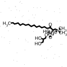 CCCCCCCCCCCCCCCC(=O)C(C[N+](C)(C)C)OP(=O)(O)OCC(O)CO